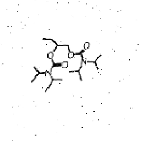 CCC(COC(=O)N(C(C)C)C(C)C)OC(=O)N(C(C)C)C(C)C